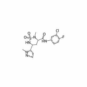 CN1C(C(=O)Nc2ccc(F)c(Cl)c2)CC(c2ccnn2C)NS1(=O)=O